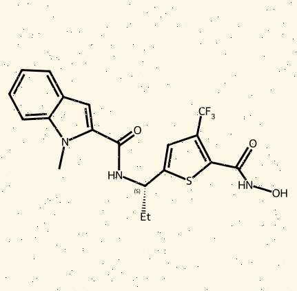 CC[C@H](NC(=O)c1cc2ccccc2n1C)c1cc(C(F)(F)F)c(C(=O)NO)s1